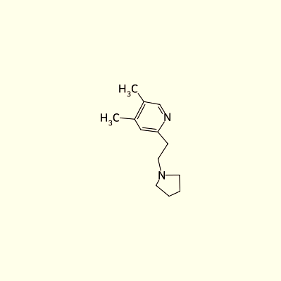 Cc1cnc(CCN2CCCC2)cc1C